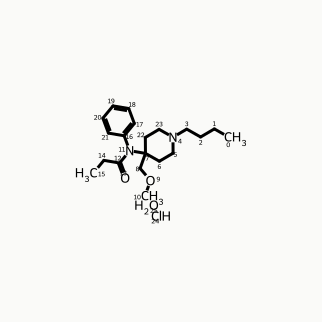 CCCCN1CCC(COC)(N(C(=O)CC)c2ccccc2)CC1.Cl.O